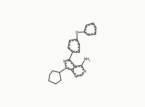 Nc1ncnc2c1c(-c1ccc(Oc3ccccc3)cc1)nn2C1CCCCC1